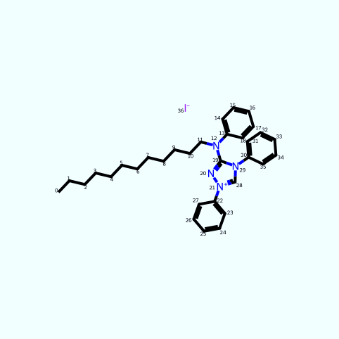 CCCCCCCCCCCCN(c1ccccc1)c1n[n+](-c2ccccc2)cn1-c1ccccc1.[I-]